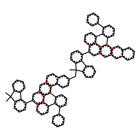 CC1(C)c2ccccc2-c2c(-c3ccc(N(c4cccc(-c5ccccc5)c4-c4ccccc4-c4ccccc4)c4cccc5cc(CC6(C)c7ccccc7-c7c(-c8ccc(N(c9ccc%10ccccc%10c9)c9cccc(-c%10ccccc%10)c9-c9ccccc9-c9ccccc9)cc8)cccc76)ccc45)cc3)cccc21